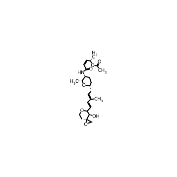 CC(=O)O[C@@H](C)/C=C\C(=O)N[C@@H]1CC[C@H](C/C=C(C)/C=C/C2OCC[C@@]3(CO3)[C@@H]2O)O[C@@H]1C